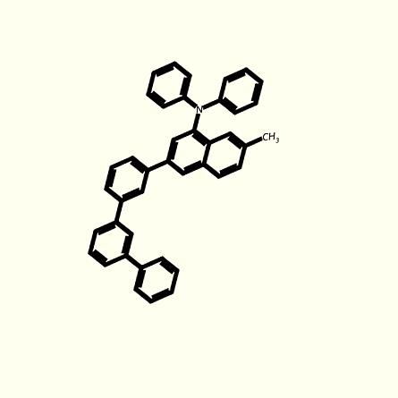 Cc1ccc2cc(-c3cccc(-c4cccc(-c5ccccc5)c4)c3)cc(N(c3ccccc3)c3ccccc3)c2c1